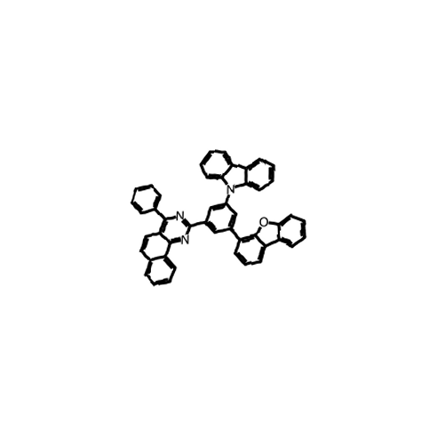 c1ccc(-c2nc(-c3cc(-c4cccc5c4oc4ccccc45)cc(-n4c5ccccc5c5ccccc54)c3)nc3c2ccc2ccccc23)cc1